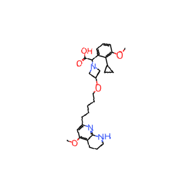 COc1cc(CCCCCOC2CN(C(C(=O)O)c3cccc(OC)c3C3CC3)C2)nc2c1CCCN2